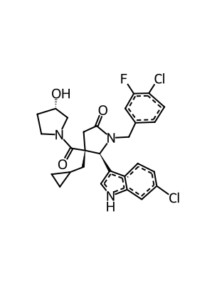 O=C1C[C@@](CC2CC2)(C(=O)N2CC[C@H](O)C2)[C@H](c2c[nH]c3cc(Cl)ccc23)N1Cc1ccc(Cl)c(F)c1